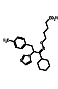 O=C(O)CCCCO/N=C(/C1CCCCC1)C(Cc1ccc(C(F)(F)F)cc1)n1ccnc1